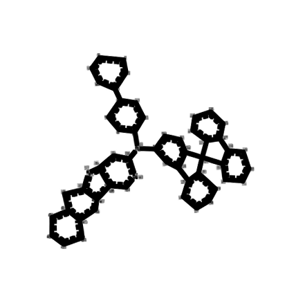 c1ccc(-c2ccc(N(c3ccc4c(c3)-c3ccccc3C43c4ccccc4-c4ccccc43)c3cc4sc5cc6ccccc6cc5c4cn3)cc2)cc1